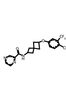 N#Cc1ccc(OC2CC3(CC(NC(=O)c4cnccn4)C3)C2)cc1C(F)(F)F